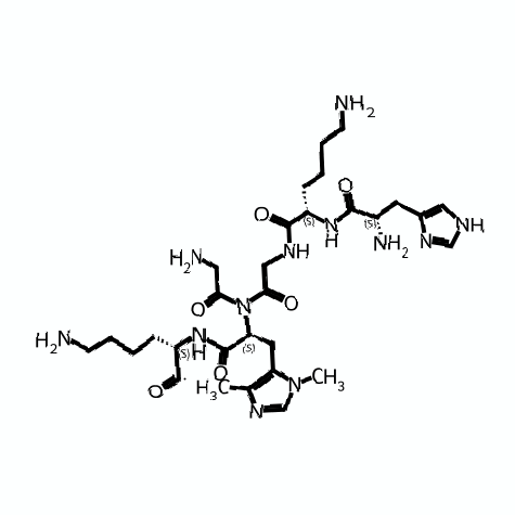 Cc1ncn(C)c1C[C@@H](C(=O)N[C@H]([C]=O)CCCCN)N(C(=O)CN)C(=O)CNC(=O)[C@H](CCCCN)NC(=O)[C@@H](N)Cc1c[nH]cn1